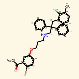 COC(=O)c1cc(OCCCNCC(Cc2cccc(C(F)(F)F)c2Cl)(c2ccccc2)c2ccccc2)ccc1Br